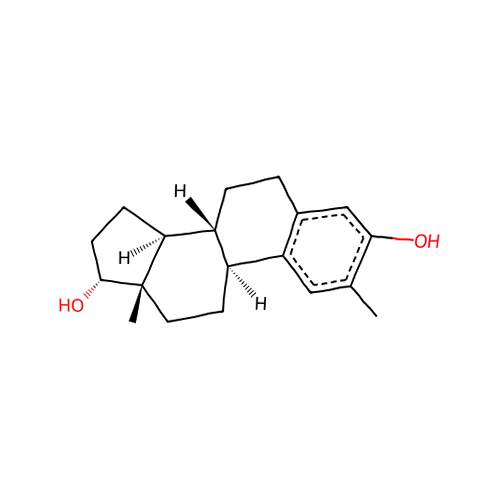 Cc1cc2c(cc1O)CC[C@@H]1[C@@H]2CC[C@]2(C)[C@H](O)CC[C@@H]12